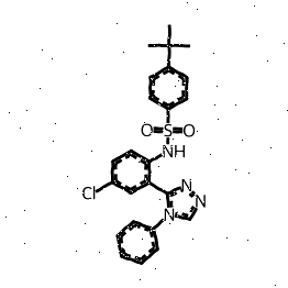 CC(C)(C)c1ccc(S(=O)(=O)Nc2ccc(Cl)cc2-c2nncn2-c2ccccc2)cc1